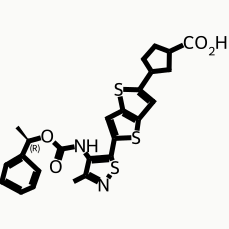 Cc1nsc(-c2cc3sc(C4CCC(C(=O)O)C4)cc3s2)c1NC(=O)O[C@H](C)c1ccccc1